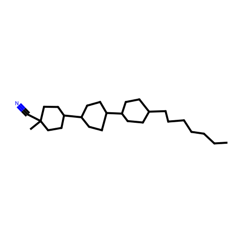 CCCCCCCC1CCC(C2CCC(C3CCC(C)(C#N)CC3)CC2)CC1